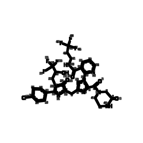 O=C1CN(C(=O)c2nc(Cn3nc(-c4ccc(Cl)cc4)n(CC(O)C(F)(F)F)c3=O)nn2-c2ncccc2C(=O)NCCC(F)(F)F)CCN1